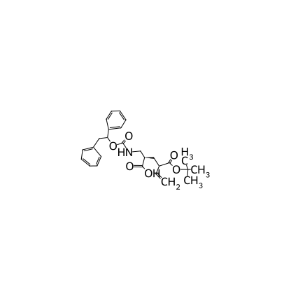 C=CC(C[C@H](CNC(=O)OC(Cc1ccccc1)c1ccccc1)C(=O)O)C(=O)OC(C)(C)C